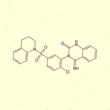 N=c1c2ccccc2[nH]c(=O)n1-c1cc(S(=O)(=O)N2CCCc3ccccc32)ccc1Cl